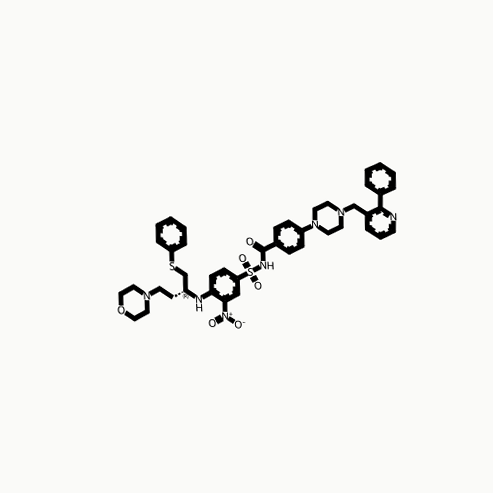 O=C(NS(=O)(=O)c1ccc(N[C@H](CCN2CCOCC2)CSc2ccccc2)c([N+](=O)[O-])c1)c1ccc(N2CCN(Cc3cccnc3-c3ccccc3)CC2)cc1